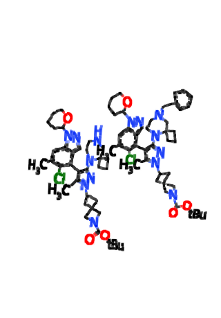 Cc1cc2c(cnn2C2CCCCO2)c(-c2c(N3CCN(Cc4ccccc4)CC34CCC4)nn(C3CC4(C3)CN(C(=O)OC(C)(C)C)C4)c2C)c1Cl.Cc1cc2c(cnn2C2CCCCO2)c(-c2c(N3CCNCC34CCC4)nn(C3CC4(C3)CN(C(=O)OC(C)(C)C)C4)c2C)c1Cl